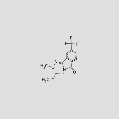 CCCCN1C(=O)c2ccc(C(F)(F)F)cc2C1=NOC